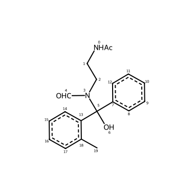 CC(=O)NCCN(C=O)C(O)(c1ccccc1)c1ccccc1C